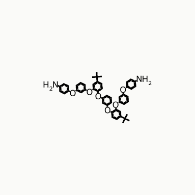 CC(C)(C)c1ccc(Oc2cccc(Oc3ccc(C(C)(C)C)cc3Oc3cccc(Oc4ccc(N)cc4)c3)c2)c(Oc2cccc(Oc3ccc(N)cc3)c2)c1